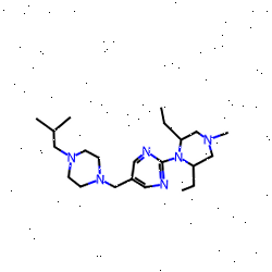 CCC1CN(C)CC(CC)N1c1ncc(CN2CCN(CC(C)C)CC2)cn1